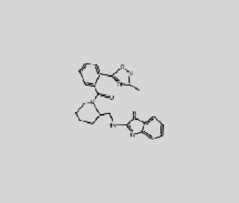 Cc1noc(-c2ccccc2C(=O)N2CCCCC2CNc2nc3ccccc3[nH]2)n1